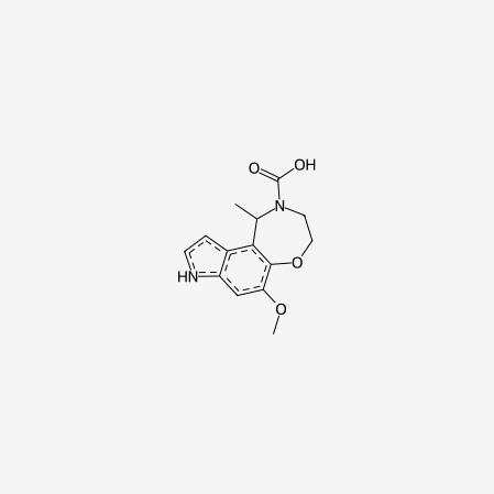 COc1cc2[nH]ccc2c2c1OCCN(C(=O)O)C2C